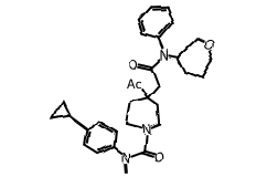 CC(=O)C1(CC(=O)N(c2ccccc2)C2CCCOC2)CCN(C(=O)N(C)c2ccc(C3CC3)cc2)CC1